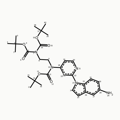 CC(C)(C)OC(=O)N(CCN(C(=O)OC(C)(C)C)c1ccnc(-n2ccc3cc(N)ccc32)n1)C(=O)OC(C)(C)C